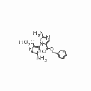 NC1=NC=C(C(=O)OCc2ccccc2)N(c2nc(N)cnc2C(=O)O)C1